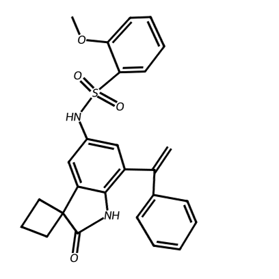 C=C(c1ccccc1)c1cc(NS(=O)(=O)c2ccccc2OC)cc2c1NC(=O)C21CCC1